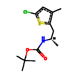 Cc1cc(Cl)sc1C[C@H](C)NC(=O)OC(C)(C)C